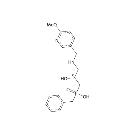 COc1ccc(CNC[C@@H](O)CP(=O)(O)Cc2ccccc2)cn1